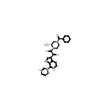 C[C@@H]1CN(C(=O)c2ccccc2)CCN1C(=O)C(=O)c1c[nH]c2c(N3C=NC=CC3)nccc12